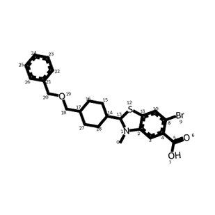 CN1c2cc(C(=O)O)c(Br)cc2SC1C1CCC(COCc2ccccc2)CC1